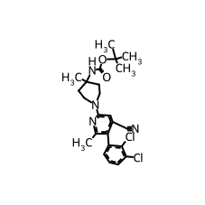 Cc1nc(N2CCC(C)(NC(=O)OC(C)(C)C)CC2)cc(C#N)c1-c1cccc(Cl)c1Cl